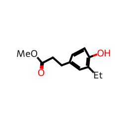 CCc1cc(CCC(=O)OC)ccc1O